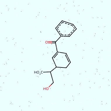 O=C(C1=CC(C(CO)C(=O)O)CC=C1)c1ccccc1